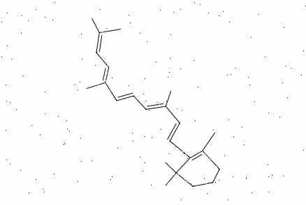 CC(C)=CC=C(C)C=CC=C(C)C=CC1=C(C)CCCC1(C)C